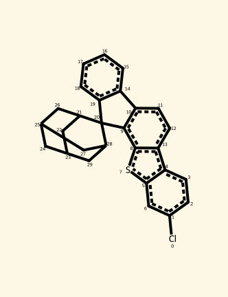 Clc1ccc2c(c1)sc1c3c(ccc12)-c1ccccc1C31C2CC3CC(C2)CC1C3